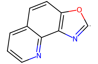 [c]1nc2c(ccc3cccnc32)o1